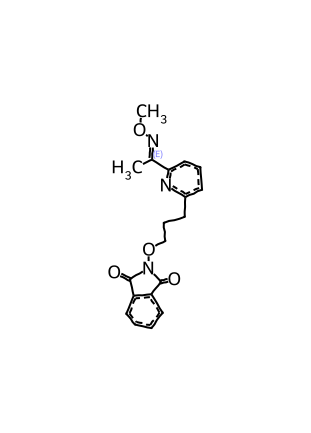 CO/N=C(\C)c1cccc(CCCON2C(=O)c3ccccc3C2=O)n1